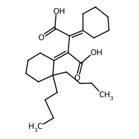 CCCCC1(CCCC)CCCCC1=C(C(=O)O)C(C(=O)O)=C1CCCCC1